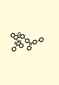 c1ccc(-c2ccc(N(c3ccccc3)c3ccc(-c4ccc5oc6c7ccccc7cc(-c7nc(-c8ccccc8)c8ccccc8n7)c6c5c4)cc3)cc2)cc1